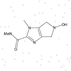 CNC(=O)c1nc2c(n1C)CN(O)C2